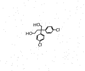 OCCC(CO)(c1ccc(Cl)cc1)c1ccc(Cl)cc1